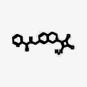 Nc1c(N2CCc3ccc(CNC(=O)c4ccccn4)cc3C2)c(=O)c1=O